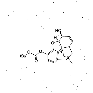 CN1CC[C@]23c4c5ccc(OC(=O)OC(C)(C)C)c4O[C@H]2[C@@H](O)C=CC3C1C5